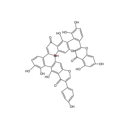 O=c1cc(-c2ccc(O)c(O)c2-c2c(O)cc3oc(-c4ccc(O)c(O)c4-c4c(O)cc5occ(-c6ccc(O)cc6)c(=O)c5c4O)cc(=O)c3c2O)oc2cc(O)cc(O)c12